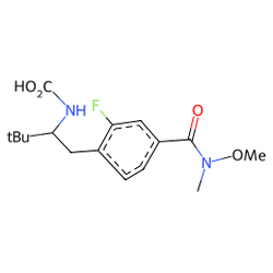 CON(C)C(=O)c1ccc(CC(NC(=O)O)C(C)(C)C)c(F)c1